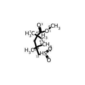 COC(=O)C(C)(C)CC(C)(C)C[SH](=O)=O